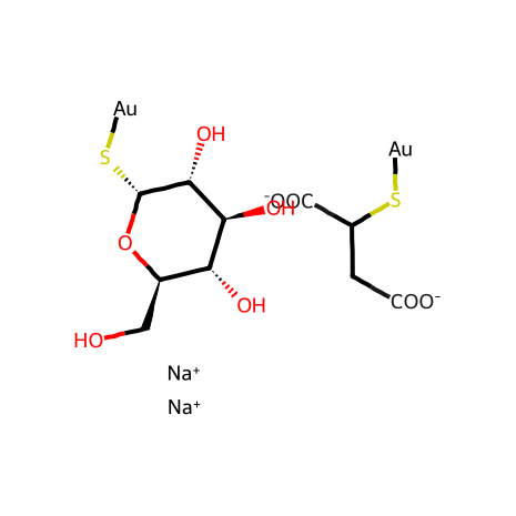 O=C([O-])CC([S][Au])C(=O)[O-].OC[C@H]1O[C@H]([S][Au])[C@H](O)[C@@H](O)[C@@H]1O.[Na+].[Na+]